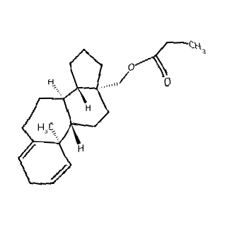 CCC(=O)OC[C@@]12CCC[C@H]1[C@@H]1CCC3=CCC=C[C@]3(C)[C@H]1CC2